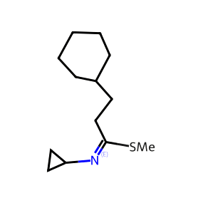 CS/C(CCC1CCCCC1)=N/C1CC1